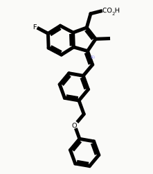 CC1=C(CC(=O)O)c2cc(F)ccc2/C1=C\c1cccc(COc2ccccc2)c1